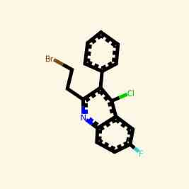 Fc1ccc2nc(CCBr)c(-c3ccccc3)c(Cl)c2c1